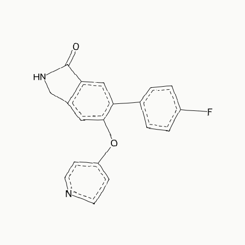 O=C1NCc2cc(Oc3ccncc3)c(-c3ccc(F)cc3)cc21